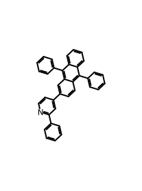 c1ccc(-c2cc(-c3ccc4c(-c5ccccc5)c5ccccc5c(-c5ccccc5)c4c3)ccn2)cc1